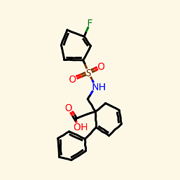 O=C(O)C1(CNS(=O)(=O)c2cccc(F)c2)CC=CC=C1c1ccccc1